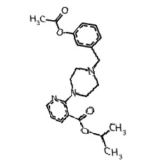 CC(=O)Oc1cccc(CN2CCN(c3ncccc3C(=O)OC(C)C)CC2)c1